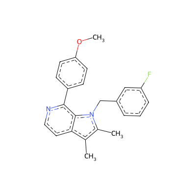 COc1ccc(-c2nccc3c(C)c(C)n(Cc4cccc(F)c4)c23)cc1